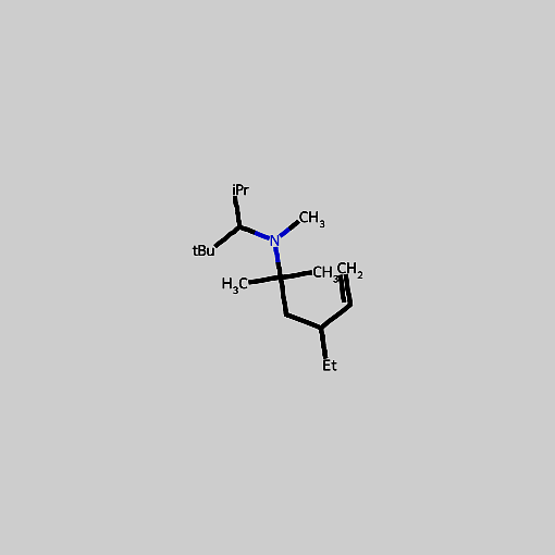 C=CC(CC)CC(C)(C)N(C)C(C(C)C)C(C)(C)C